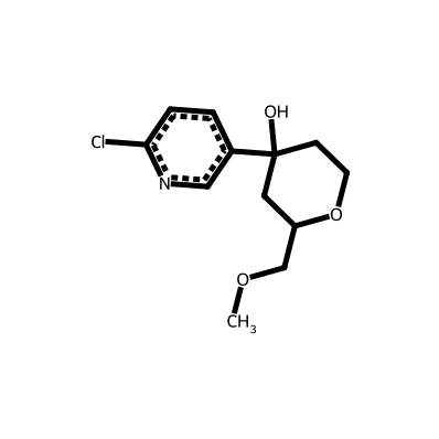 COCC1CC(O)(c2ccc(Cl)nc2)CCO1